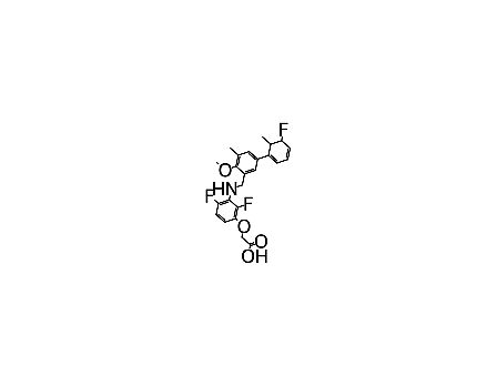 COc1c(C)cc(C2=CC=CC(F)C2C)cc1CNc1c(F)ccc(OCC(=O)O)c1F